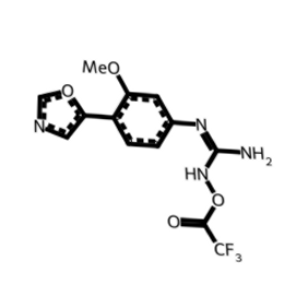 COc1cc(N=C(N)NOC(=O)C(F)(F)F)ccc1-c1cnco1